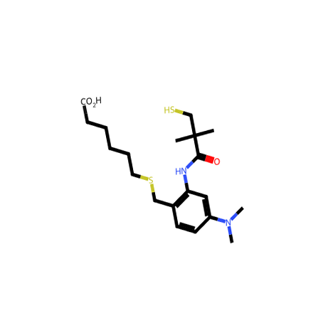 CN(C)c1ccc(CSCCCCCC(=O)O)c(NC(=O)C(C)(C)CS)c1